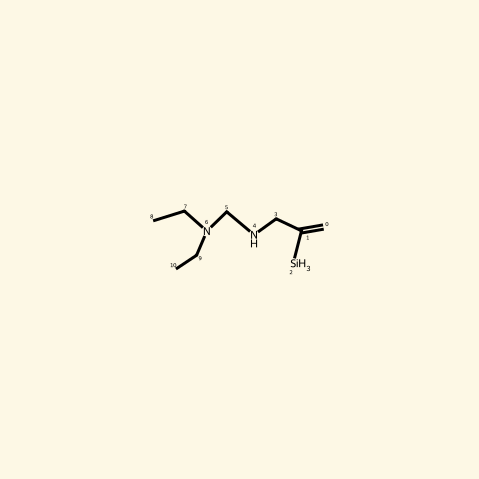 C=C([SiH3])CNCN(CC)CC